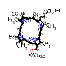 CCCCCCCCCCOCc1c(C)c2cc3nc(c(C)c4[nH]c(cc5nc(cc1[nH]2)C(C)=C5CC)c(C)c4C(=O)O)[C@@H](CCC(=O)O)[C@@H]3C